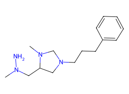 CN(N)CC1CN(CCCc2ccccc2)CN1C